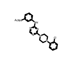 CC(=O)Nc1cccc(Nc2ncnc(N3CCN(c4ccccc4Cl)CC3)n2)c1